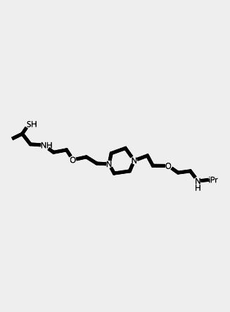 CC(S)CNCCOCCN1CCN(CCOCCNC(C)C)CC1